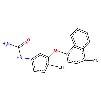 Cc1ccc(NC(N)=O)cc1Oc1ccc(C#N)c2ccccc12